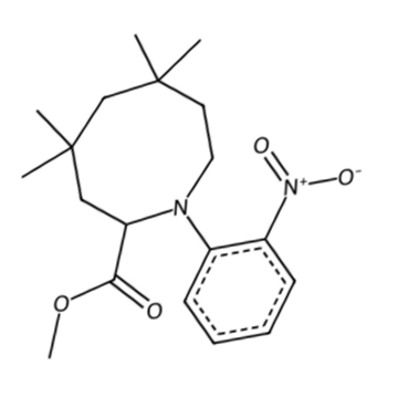 COC(=O)C1CC(C)(C)CC(C)(C)CCN1c1ccccc1[N+](=O)[O-]